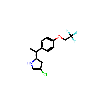 CC(c1ccc(OCC(F)(F)F)cc1)C1CC(Cl)=CN1